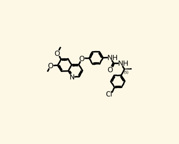 COc1cc2nccc(Oc3ccc(NC(=O)N[C@@H](C)c4ccc(Cl)cc4)cc3)c2cc1OC